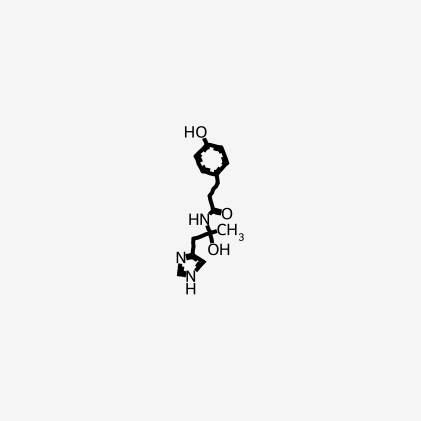 CC(O)(Cc1c[nH]cn1)NC(=O)CCc1ccc(O)cc1